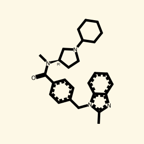 Cc1nc2ccccc2n1Cc1ccc(C(=O)N(C)[C@@H]2CCN(C3CCCCC3)C2)cc1